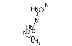 COc1ccc2nccc(C(=O)NCCCN3CCC(c4c[nH]c5cc(C#N)ccc45)CC3)c2c1